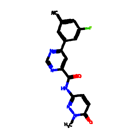 Cn1nc(NC(=O)c2cc(-c3cc(F)cc(C#N)c3)ncn2)ccc1=O